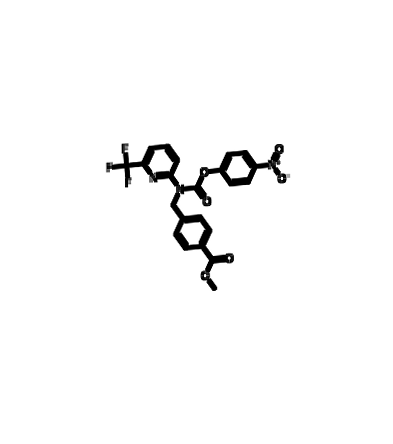 COC(=O)c1ccc(CN(C(=O)Oc2ccc([N+](=O)[O-])cc2)c2cccc(C(F)(F)F)n2)cc1